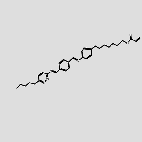 C=CC(=O)OCCCCCCCc1ccc(N=Cc2ccc(C=Nc3ccc(CCCCC)nn3)cc2)cc1